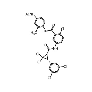 CC(=O)Nc1ccc(NC(=O)c2cc(NC(=O)[C@H]3[C@H](c4cc(Cl)cc(Cl)c4)C3(Cl)Cl)ccc2Cl)c(C)c1